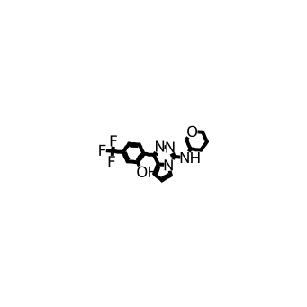 Oc1cc(C(F)(F)F)ccc1-c1nnc(NC2CCCOC2)n2cccc12